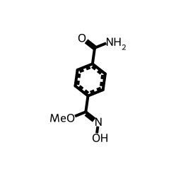 COC(=NO)c1ccc(C(N)=O)cc1